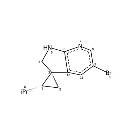 CC(C)[C@H]1C[C@@]12CNc1ncc(Br)cc12